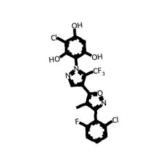 Cc1c(-c2c(F)cccc2Cl)noc1-c1cnn(-c2c(O)cc(O)c(Cl)c2O)c1C(F)(F)F